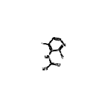 Cc1ccnc(F)c1NC(=O)O